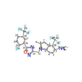 [C-]#[N+]c1ccc2c(cc(C)n2Cc2noc(-c3cc(C(F)(F)F)ccc3F)n2)c1C(F)(F)F